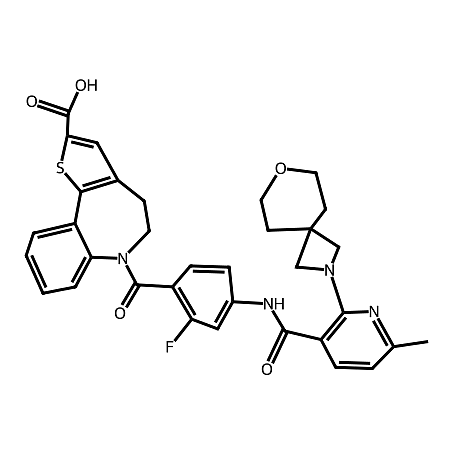 Cc1ccc(C(=O)Nc2ccc(C(=O)N3CCc4cc(C(=O)O)sc4-c4ccccc43)c(F)c2)c(N2CC3(CCOCC3)C2)n1